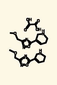 COCc1noc(C2=CCCNC2)n1.COCc1noc(C2=CCCNC2)n1.O=C(O)C(=O)O